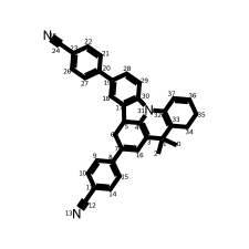 CC1(C)C2=C3C(CC(c4ccc(C#N)cc4)=C2)c2cc(-c4ccc(C#N)cc4)ccc2N3C2=C1CCC=C2